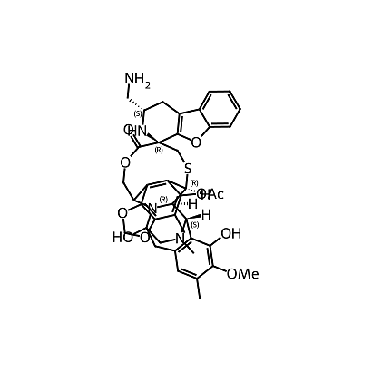 COc1c(C)cc2c(c1O)[C@H]1[C@@H]3[C@@H]4SC[C@]5(N[C@H](CN)Cc6c5oc5ccccc65)C(=O)OCC(c5c6c(c(C)c(OC(C)=O)c54)OCO6)N3C(O)(C2)CN1C